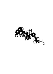 COc1ccc2c(c1)C(c1cc(C(=O)c3cncnc3N[C@H]3CC[C@@H](COS(N)(=O)=O)C3)sc1C)OCC2